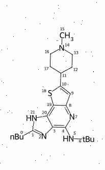 CCCCc1nc2c(NC(C)(C)C)nc3cc(C4CCN(C)CC4)sc3c2[nH]1